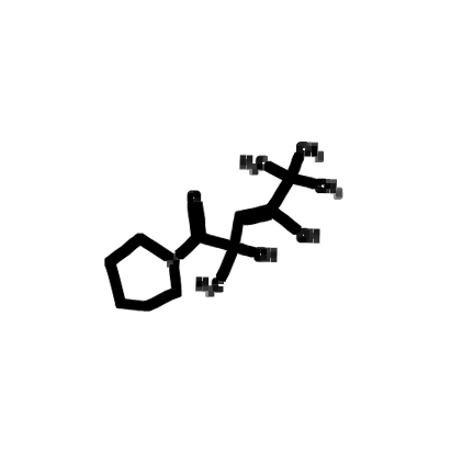 CC(O)(/C=C(\O)C(C)(C)C)C(=O)N1CCCCC1